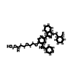 O=C(O)NCCOCCOc1cnc(-c2nn(Cc3ccccc3F)c3ccccc23)nc1Nc1ccncc1